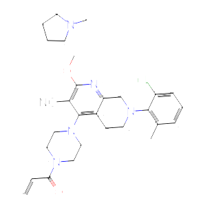 C=CC(=O)N1CCN(c2c(C#N)c(OC[C@@H]3CCCN3C)nc3c2CCN(c2c(C)cccc2Cl)C3)CC1